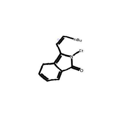 CCCC/C=C\C1=C2CC=CC=C2C(=O)N1CC